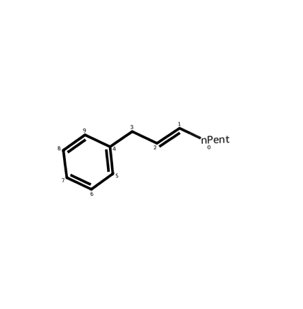 CCCCC/C=C/Cc1ccccc1